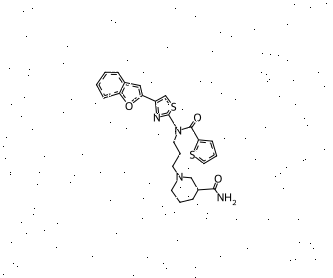 NC(=O)C1CCCN(CCCN(C(=O)c2cccs2)c2nc(-c3cc4ccccc4o3)cs2)C1